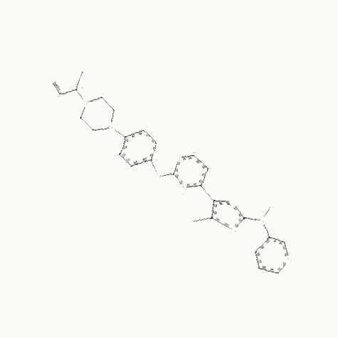 Cc1nc(N(C)c2cccnc2)sc1-c1ccnc(Nc2ccc(N3CCN(C(C)C=O)CC3)cc2)n1